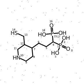 O=P(O)(O)C(CCC1CCNCC1CS)P(=O)(O)O